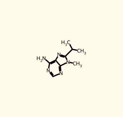 CC(C)c1nc2c(N)ncnc2n1C